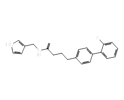 O=C(CCCc1ccc(-c2ccccc2F)cc1)NCc1cc[nH]c1